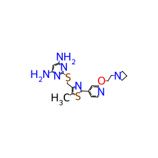 Cc1sc(-c2ccnc(OCCN3CCC3)c2)nc1CSc1nc(N)cc(N)n1